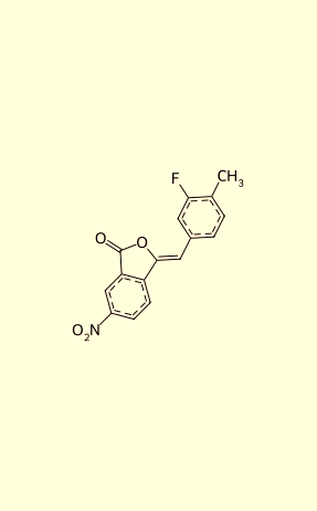 Cc1ccc(C=C2OC(=O)c3cc([N+](=O)[O-])ccc32)cc1F